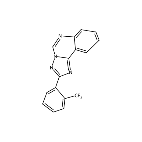 FC(F)(F)c1ccccc1-c1nc2c3ccccc3ncn2n1